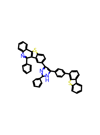 C1=C(c2ccc(-c3cccc4c3sc3ccccc34)cc2)NC(c2ccccc2)N=C1c1ccc2sc3c4ccccc4nc(-c4ccccc4)c3c2c1